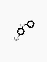 Cc1ccc(Bc2ccccc2)cc1